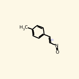 Cc1ccc(/C=C/N=O)cc1